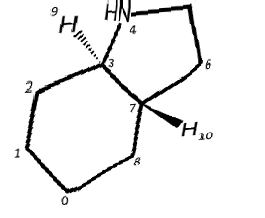 C1CC[C@H]2NCC[C@@H]2C1